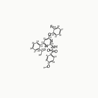 COc1ccc(S(=O)(=O)Nc2nc(Oc3ccccc3F)cc(-c3ccccc3C(C)C)n2)cc1